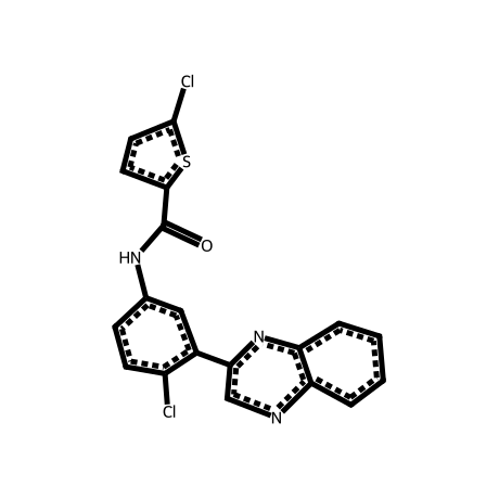 O=C(Nc1ccc(Cl)c(-c2cnc3ccccc3n2)c1)c1ccc(Cl)s1